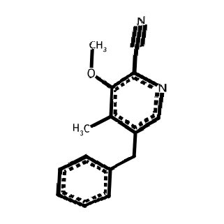 COc1c(C#N)ncc(Cc2ccccc2)c1C